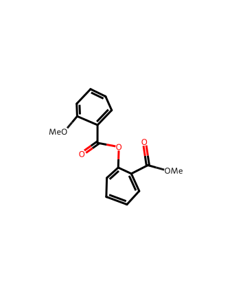 COC(=O)c1ccccc1OC(=O)c1ccccc1OC